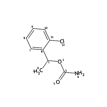 [CH2]C(OC(N)=O)c1ccccc1Cl